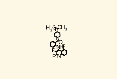 CN(C)C1CCN(C(=O)c2ccccc2Nc2c(F)c(F)nc3cccc(F)c23)CC1